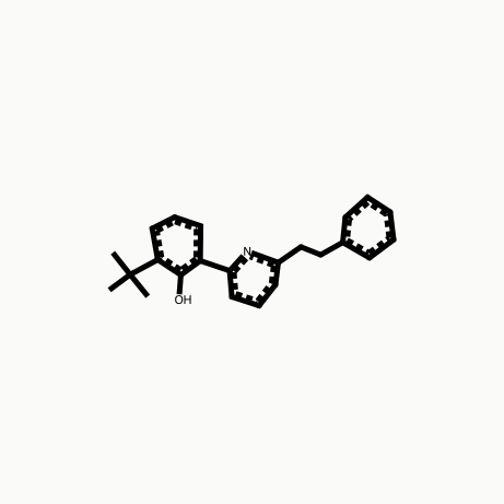 CC(C)(C)c1cccc(-c2cccc(CCc3ccccc3)n2)c1O